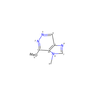 COc1nncc2ncn(C)c12